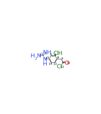 Cl.N=C(N)Nc1ccc(CC(=O)Cl)cc1